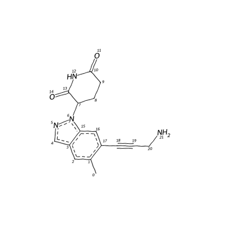 Cc1cc2cnn(C3CCC(=O)NC3=O)c2cc1C#CCN